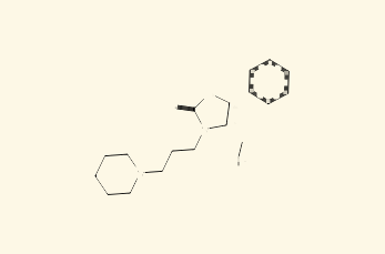 CC(C)C[C@H]1[C@@H](c2ccccc2)OC(=O)N1CCCN1CCCCC1